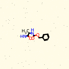 C[C@H](NC(=O)OCc1ccccc1)C([NH])=O